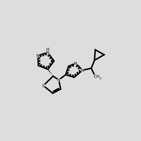 CC(C1CC1)n1cc(N2C=CS[C@@H]2c2cn[nH]c2)cn1